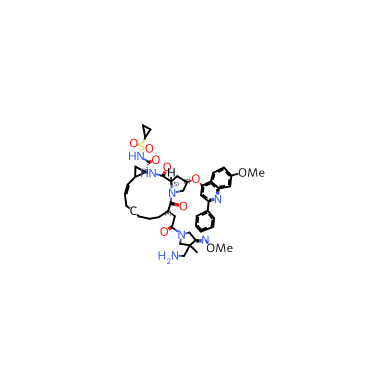 CON=C1CN(C(=O)C[C@H]2CCCCCC=CC3C[C@@]3(C(=O)NS(=O)(=O)C3CC3)NC(=O)[C@@H]3C[C@@H](Oc4cc(-c5ccccc5)nc5cc(OC)ccc45)CN3C2=O)CC1(C)CN